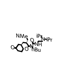 CCCCN(C(=O)NCCN(C(C)C)C(C)C)C(=O)[C@@H](CNC)C[C@H]1CCCC(=O)C1